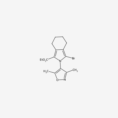 CCOC(=O)c1c2c(c(Br)n1-c1c(C)noc1C)CCCC2